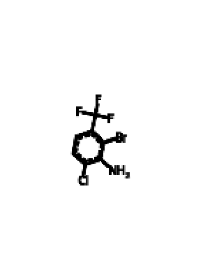 Nc1c(Cl)ccc(C(F)(F)F)c1Br